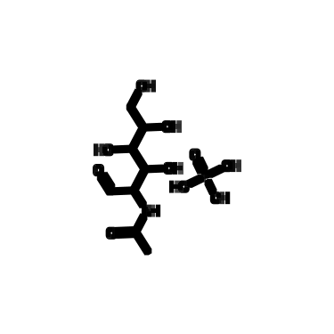 CC(=O)NC(C=O)C(O)C(O)C(O)CO.O=P(O)(O)O